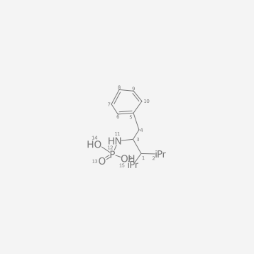 CC(C)C(C(C)C)C(Cc1ccccc1)NP(=O)(O)O